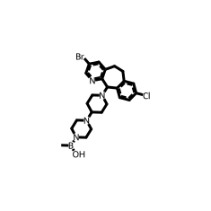 CB(O)N1CCN(C2CCN(C3c4ccc(Cl)cc4CCc4cc(Br)cnc43)CC2)CC1